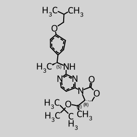 CC(C)COc1ccc([C@H](C)Nc2nccc(N3C(=O)OC[C@@H]3[C@@H](C)OC(C)(C)C)n2)cc1